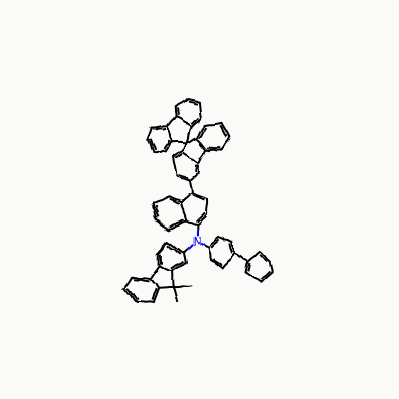 CC1(C)c2ccccc2-c2ccc(N(c3ccc(-c4ccccc4)cc3)c3ccc(-c4ccc5c(c4)-c4ccccc4C54c5ccccc5-c5ccccc54)c4ccccc34)cc21